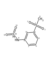 CS(=O)(=O)c1cccc(N[SH](=O)=O)c1